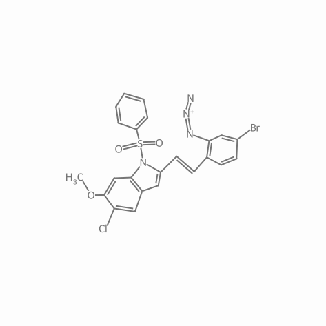 COc1cc2c(cc1Cl)cc(/C=C/c1ccc(Br)cc1N=[N+]=[N-])n2S(=O)(=O)c1ccccc1